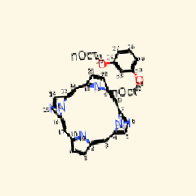 C1=Cc2cc3ccc(cc4nc(cc5ccc(cc1n2)[nH]5)C=C4)[nH]3.CCCCCCCCOc1cccc(OCCCCCCCC)c1